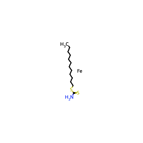 CCCCCCCCCCCCSC(N)=S.[Fe]